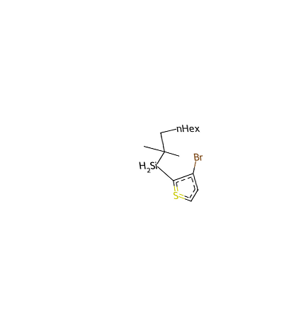 CCCCCCCC(C)(C)[SiH2]c1sccc1Br